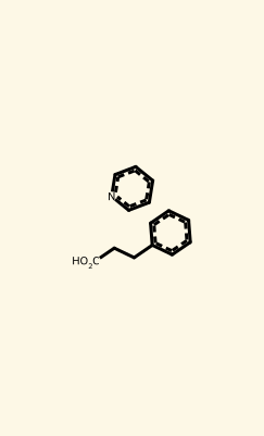 O=C(O)CCc1ccccc1.c1ccncc1